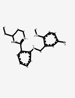 CCC1CCN=C(c2ccccc2SCc2cc(Br)ccc2OC)N1